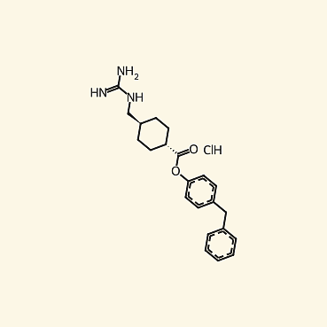 Cl.N=C(N)NC[C@H]1CC[C@H](C(=O)Oc2ccc(Cc3ccccc3)cc2)CC1